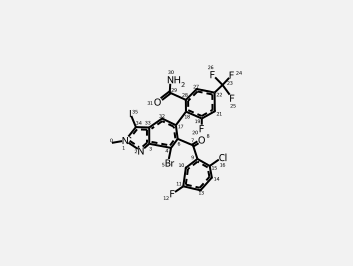 Cn1nc2c(Br)c(C(=O)c3cc(F)ccc3Cl)c(-c3c(F)cc(C(F)(F)F)cc3C(N)=O)cc2c1I